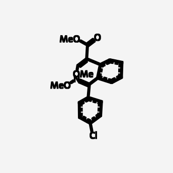 CO/C=C(/C(=O)OC)c1ccccc1/C(=N/OC)c1ccc(Cl)cc1